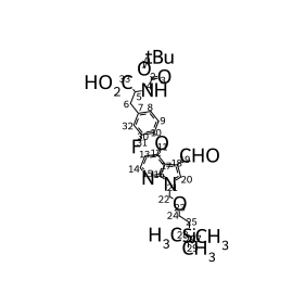 CC(C)(C)OC(=O)NC(Cc1ccc(Oc2ccnc3c2c(C=O)cn3COCC[Si](C)(C)C)c(F)c1)C(=O)O